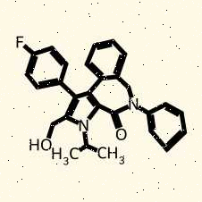 CC(C)n1c(CO)c(-c2ccc(F)cc2)c2c1C(=O)N(c1ccccc1)Cc1ccccc1-2